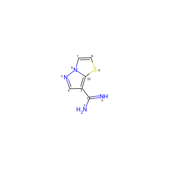 N=C(N)c1cnn2ccsc12